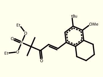 CCOP(=O)(OCC)C(C)(C)C(=O)/C=C/c1cc(C(C)(C)C)c(OC)c2c1CCCC2